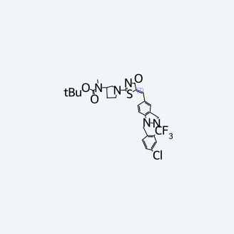 CN(C(=O)OC(C)(C)C)C1CCN(C2=NC(=O)/C(=C/c3ccc4c(cnn4Cc4ccc(Cl)cc4C(F)(F)F)c3)S2)C1